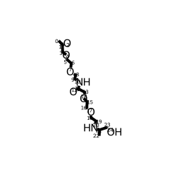 CC(=O)COCCOCCNC(=O)COCCOCCNC(C)CO